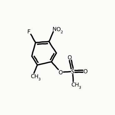 Cc1cc(F)c([N+](=O)[O-])cc1OS(C)(=O)=O